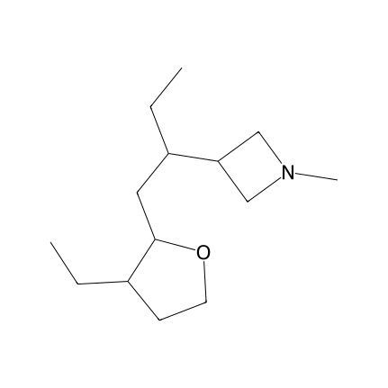 CCC(CC1OCCC1CC)C1CN(C)C1